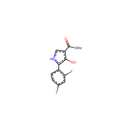 COC(=O)c1c[nH]c(-c2ccc(F)cc2F)c1O